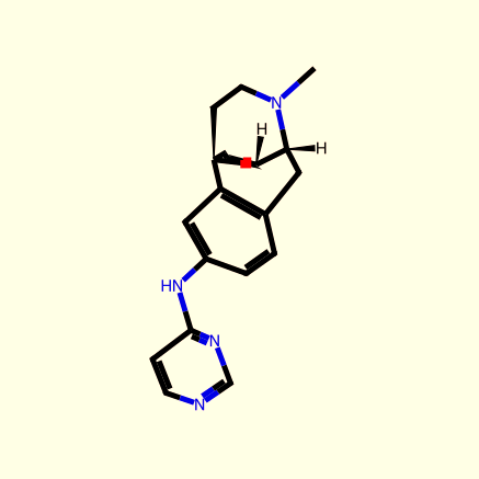 CN1CC[C@]23CCCC[C@H]2[C@H]1Cc1ccc(Nc2ccncn2)cc13